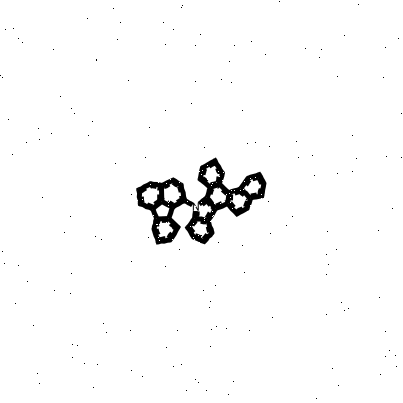 c1ccc2c(c1)-c1cccc3ccc(-n4c5ccccc5c5c6ccc7ccccc7c6c6ccccc6c54)c-2c13